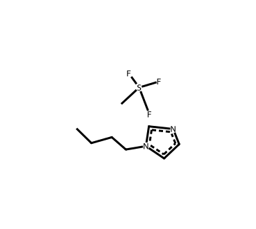 CCCCn1ccnc1.CS(F)(F)F